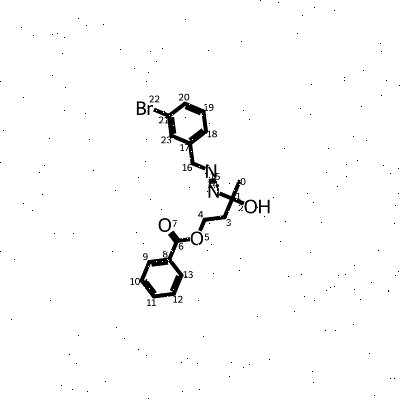 CC(O)(CCOC(=O)c1ccccc1)N=NCc1cccc(Br)c1